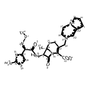 CCO/N=C(\C(=O)N[C@@H]1C(=O)N2C(C(=O)[O-])=C(Cn3cc[n+]4cccc-4c3)CS[C@H]12)c1csc(N)n1